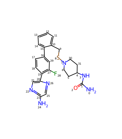 NC(=O)NC1CCN(SCc2ccccc2-c2ccc(-c3cnc(N)cn3)c(F)c2)CC1